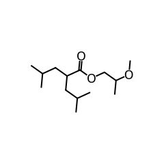 COC(C)COC(=O)C(CC(C)C)CC(C)C